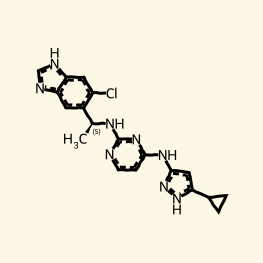 C[C@H](Nc1nccc(Nc2cc(C3CC3)[nH]n2)n1)c1cc2nc[nH]c2cc1Cl